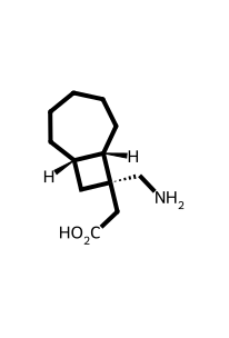 NC[C@]1(CC(=O)O)C[C@@H]2CCCCC[C@@H]21